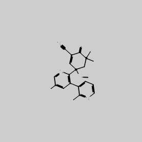 COC1(c2ncc(F)cc2-c2cccnc2C)C=C(C#N)C(=O)C(C)(C)C1